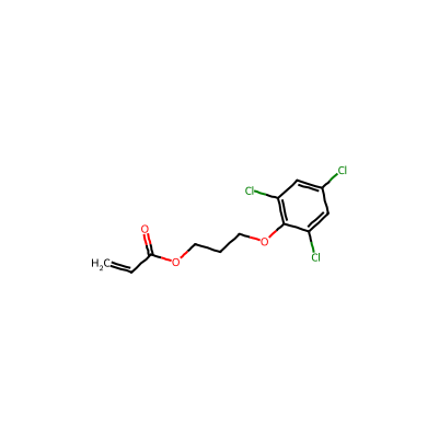 C=CC(=O)OCCCOc1c(Cl)cc(Cl)cc1Cl